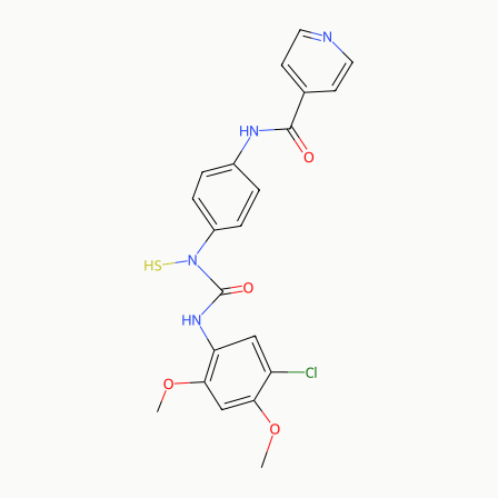 COc1cc(OC)c(NC(=O)N(S)c2ccc(NC(=O)c3ccncc3)cc2)cc1Cl